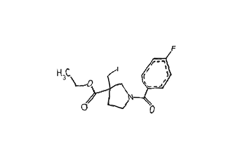 CCOC(=O)C1(CI)CCN(C(=O)c2ccc(F)cc2)C1